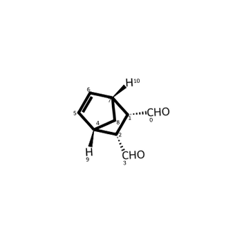 O=C[C@@H]1[C@H](C=O)[C@@H]2C=C[C@H]1C2